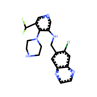 FC(F)c1cncc(NCc2cc3nccnc3cc2Cl)c1N1CCNCC1